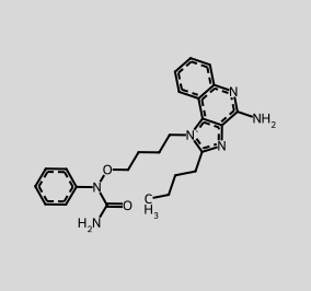 CCCCc1nc2c(N)nc3ccccc3c2n1CCCCON(C(N)=O)c1ccccc1